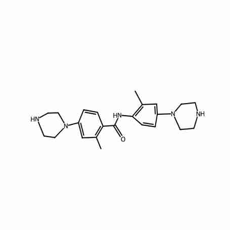 Cc1cc(N2CCNCC2)ccc1NC(=O)c1ccc(N2CCNCC2)cc1C